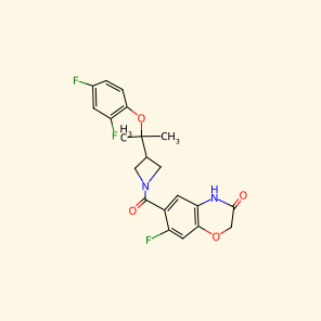 CC(C)(Oc1ccc(F)cc1F)C1CN(C(=O)c2cc3c(cc2F)OCC(=O)N3)C1